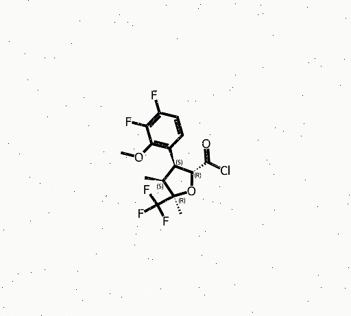 COc1c([C@H]2[C@H](C(=O)Cl)O[C@@](C)(C(F)(F)F)[C@H]2C)ccc(F)c1F